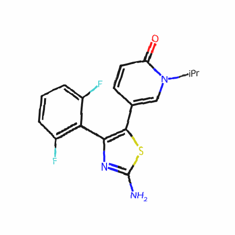 CC(C)n1cc(-c2sc(N)nc2-c2c(F)cccc2F)ccc1=O